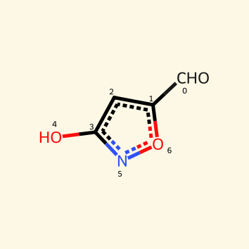 O=Cc1cc(O)no1